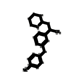 CC(CC1OCCCO1)c1cccc(Cc2ccc(C#N)cc2)c1